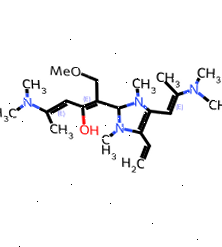 C=CC1=C(/C=C(\C)N(C)C)N(C)C(/C(COC)=C(O)/C=C(\C)N(C)C)N1C